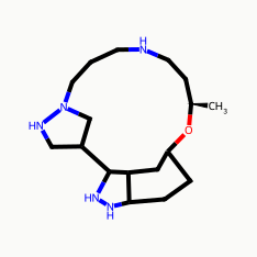 C[C@@H]1CCNCCCN2CC(CN2)C2NNC3CCC(CC32)O1